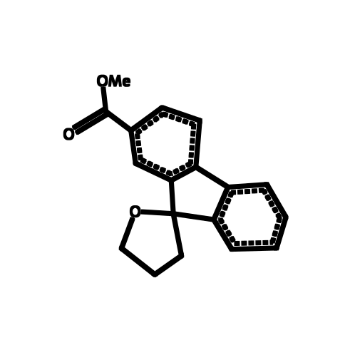 COC(=O)c1ccc2c(c1)C1(CCCO1)c1ccccc1-2